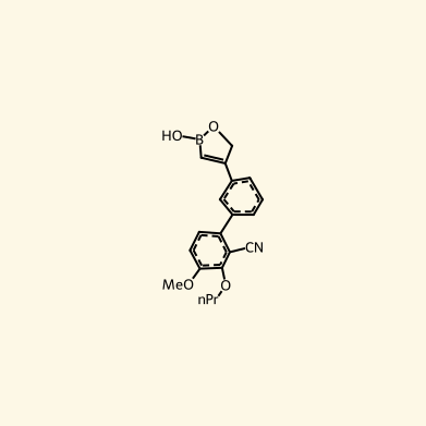 CCCOc1c(OC)ccc(-c2cccc(C3=CB(O)OC3)c2)c1C#N